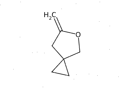 C=C1CC2(CC2)CO1